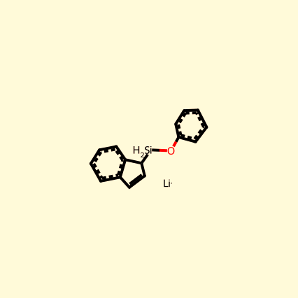 C1=CC([SiH2]Oc2ccccc2)c2ccccc21.[Li]